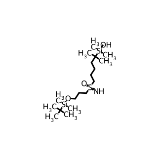 CC(C)(CCCCS(=N)(=O)CCCO[Si](C)(C)C(C)(C)C)[Si](C)(C)O